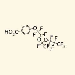 O=C(O)c1ccc(OC(F)(F)C(F)OC(F)(OC(F)(F)C(F)(F)C(F)(F)F)C(F)(F)F)cc1